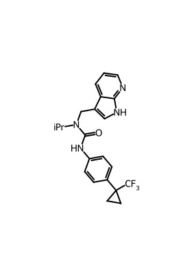 CC(C)N(Cc1c[nH]c2ncccc12)C(=O)Nc1ccc(C2(C(F)(F)F)CC2)cc1